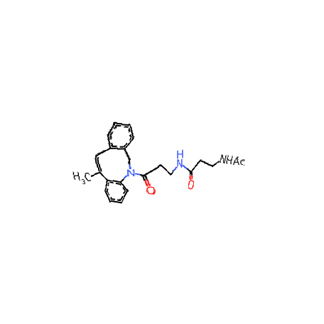 CC(=O)NCCC(=O)NCCC(=O)N1Cc2ccccc2/C=C(/C)c2ccccc21